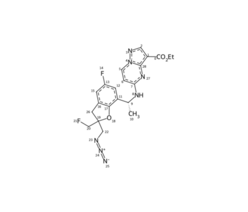 CCOC(=O)c1cnn2ccc(N[C@H](C)c3cc(F)cc4c3OC(CF)(CN=[N+]=[N-])C4)nc12